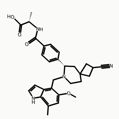 COc1cc(C)c2[nH]ccc2c1CN1CCC2(CC(C#N)C2)C[C@H]1c1ccc(C(=O)N[C@@H](C)C(=O)O)cc1